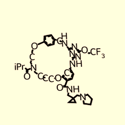 CC(C)C(=O)N1CCCCOc2cc(ccc2C(=O)NCC2(CN3CCCC3)CC2)Nc2nc(nc(OCC(F)(F)F)n2)NCc2ccc(cc2)OCCC1